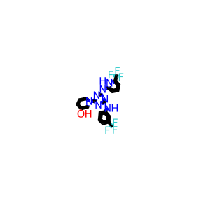 OC1CCCN(c2nc(Nc3cccc(C(F)(F)F)c3)nc(Nc3cccc(C(F)(F)F)n3)n2)C1